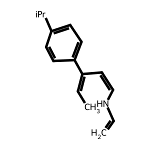 C=CN/C=C\C(=C/C)c1ccc(C(C)C)cc1